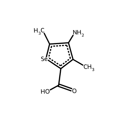 Cc1[se]c(C(=O)O)c(C)c1N